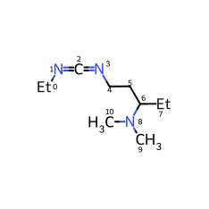 CCN=C=NCCC(CC)N(C)C